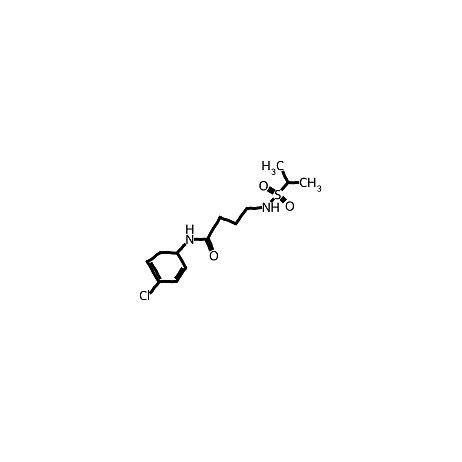 CC(C)S(=O)(=O)NCCCC(=O)NC1C=CC(Cl)=CC1